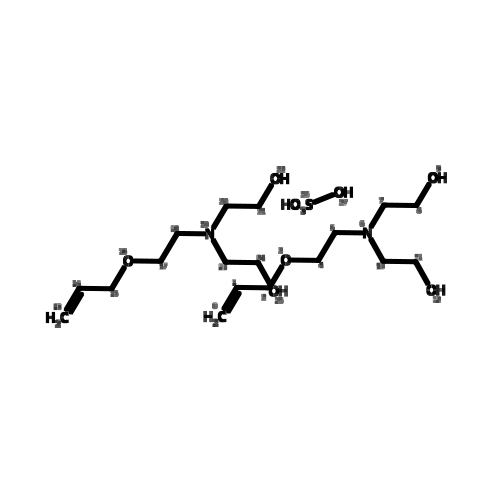 C=CCOCCN(CCO)CCO.C=CCOCCN(CCO)CCO.O=S(=O)(O)O